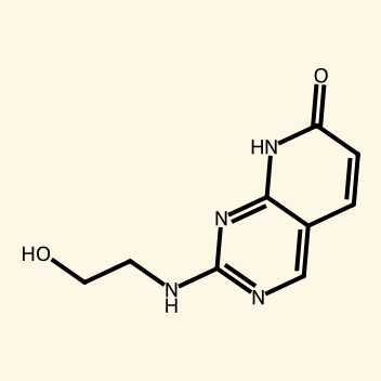 O=c1ccc2cnc(NCCO)nc2[nH]1